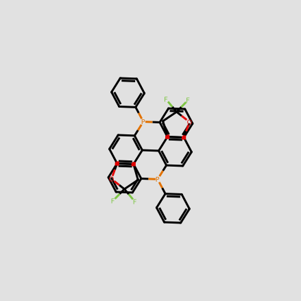 FC1(F)Cc2c(ccc(P(c3ccccc3)c3ccccc3)c2-c2c(P(c3ccccc3)c3ccccc3)ccc3c2CC(F)(F)O3)O1